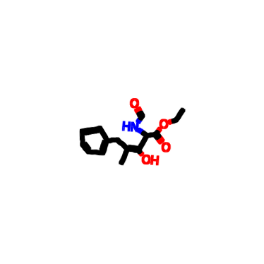 CCOC(=O)C(NC=O)/C(O)=C(/C)Cc1ccccc1